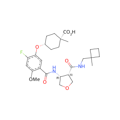 COc1cc(F)c(O[C@H]2CC[C@@](C)(C(=O)O)CC2)cc1C(=O)N[C@H]1COC[C@H]1C(=O)NCC1(C)CCC1